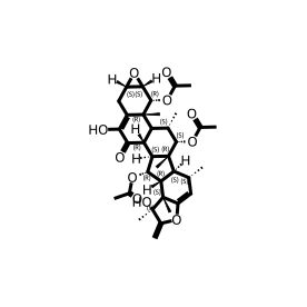 C=C1OC2=C[C@@H](C)[C@H]3[C@@H]([C@H](OC(C)=O)[C@H]4[C@@H]5C(=O)C(O)=C6C[C@@H]7O[C@@H]7[C@H](OC(C)=O)[C@]6(C)C5[C@H](C)[C@H](OC(C)=O)[C@]34C)[C@@]2(C)[C@]1(C)O